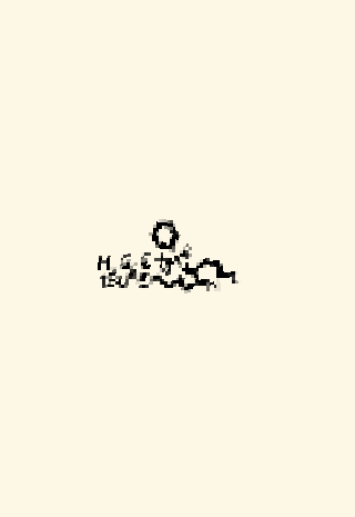 CC(C)(C)[Si](C)(C)OCCc1cc2nc(Cl)ccc2n1S(=O)(=O)c1ccccc1